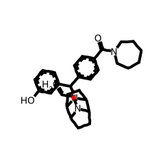 C=CCN1C2CCC1C1CCC2N1C(c1ccc(C(=O)N2CCCCCC2)cc1)c1cccc(O)c1